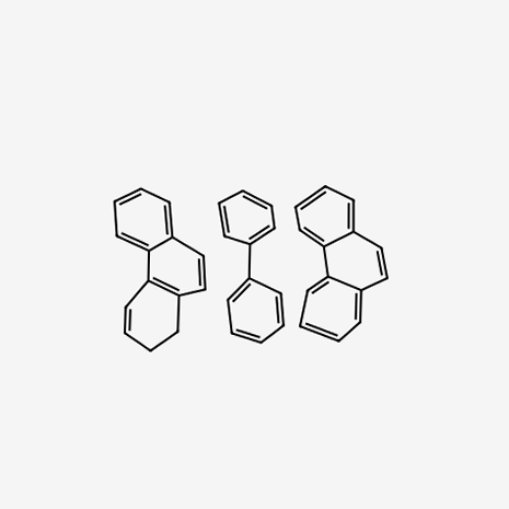 C1=Cc2c(ccc3ccccc23)CC1.c1ccc(-c2ccccc2)cc1.c1ccc2c(c1)ccc1ccccc12